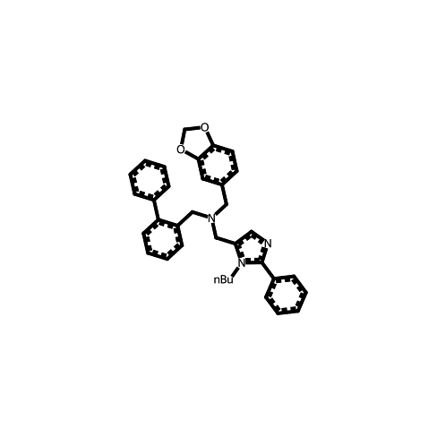 CCCCn1c(CN(Cc2ccc3c(c2)OCO3)Cc2ccccc2-c2ccccc2)cnc1-c1ccccc1